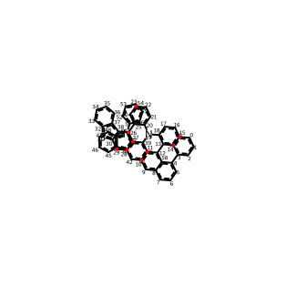 c1ccc(-c2cccc3cccc(-c4ccccc4N(c4ccccc4-c4cccc5sc6ccccc6c45)c4cccc5c6ccccc6n(-c6ccccc6)c45)c23)cc1